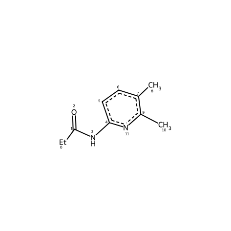 CCC(=O)Nc1ccc(C)c(C)n1